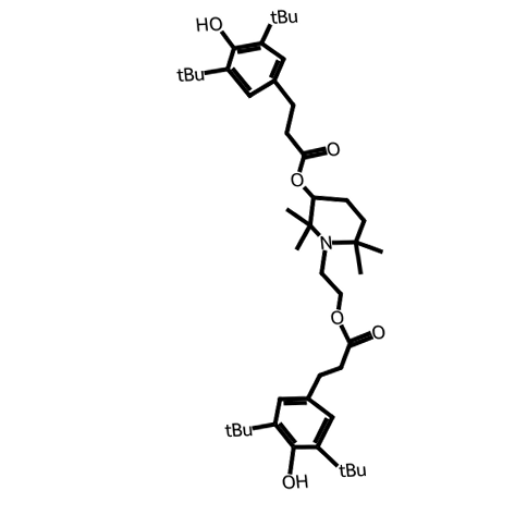 CC(C)(C)c1cc(CCC(=O)OCCN2C(C)(C)CCC(OC(=O)CCc3cc(C(C)(C)C)c(O)c(C(C)(C)C)c3)C2(C)C)cc(C(C)(C)C)c1O